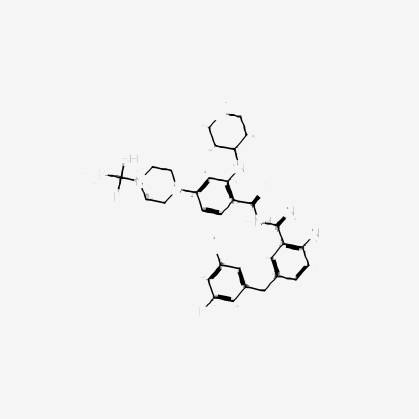 BC(B)(B)N1CCN(c2ccc(C(=O)NC(=N)c3cc(Cc4cc(F)cc(F)c4)ccc3N)c(NC3CCOCC3)c2)CC1